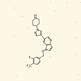 Fc1cc(COn2ccc3ncc(-c4cnn(C5CCNCC5)c4)cc32)ccc1C(F)(F)F